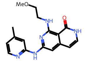 COCCNc1nc(Nc2cc(C)ccn2)cc2cc[nH]c(=O)c12